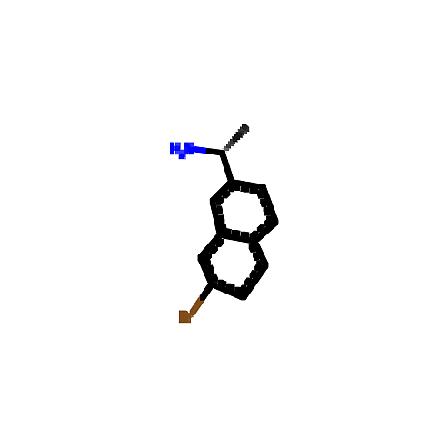 C[C@@H](N)c1ccc2ccc(Br)cc2c1